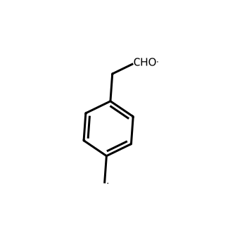 [CH2]c1ccc(C[C]=O)cc1